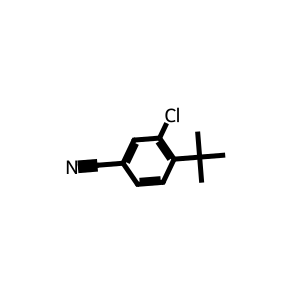 CC(C)(C)c1ccc(C#N)cc1Cl